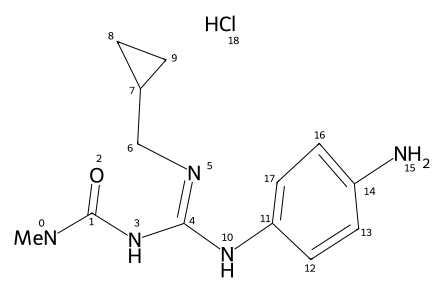 CNC(=O)NC(=NCC1CC1)Nc1ccc(N)cc1.Cl